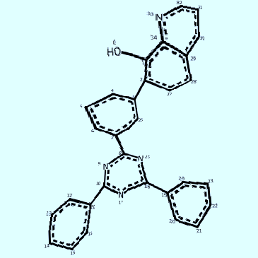 Oc1c(-c2cccc(-c3nc(-c4ccccc4)nc(-c4ccccc4)n3)c2)ccc2cccnc12